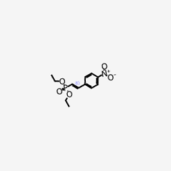 CCOP(=O)(/C=C/c1ccc([N+](=O)[O-])cc1)OCC